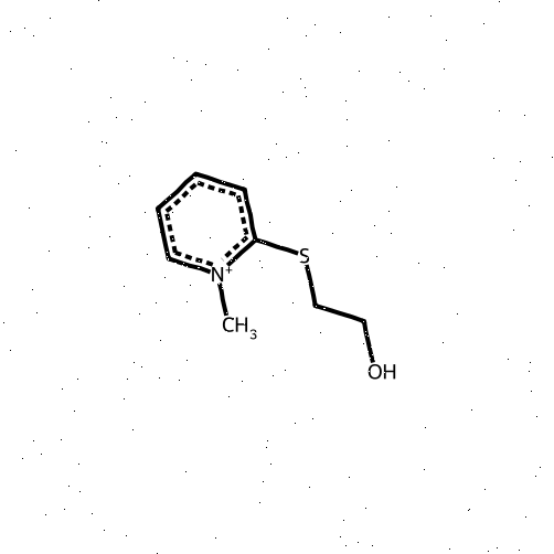 C[n+]1ccccc1SCCO